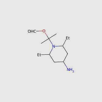 CCC1CC(N)CC(CC)N1C(C)(C)OC=O